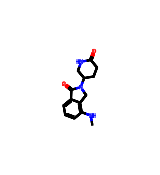 CNc1cccc2c1CN(C1CCC(=O)NC1)C2=O